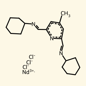 Cc1cc(C=NC2CCCCC2)nc(C=NC2CCCCC2)c1.[Cl-].[Cl-].[Cl-].[Nd+3]